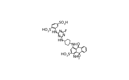 Nc1c(S(=O)(=O)O)cc(NC2CCC(Nc3nc(F)nc(Nc4cc(S(=O)(=O)O)ccc4S(=O)(=O)O)n3)CC2)c2c1C(=O)c1ccccc1C2=O